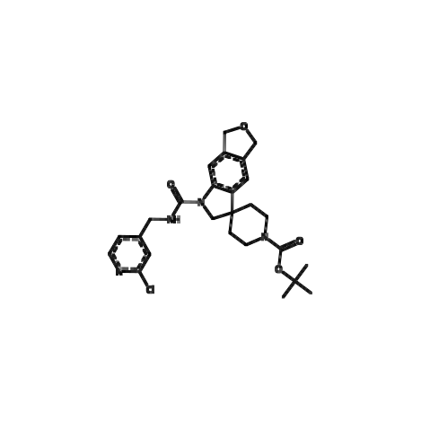 CC(C)(C)OC(=O)N1CCC2(CC1)CN(C(=O)NCc1ccnc(Cl)c1)c1cc3c(cc12)COC3